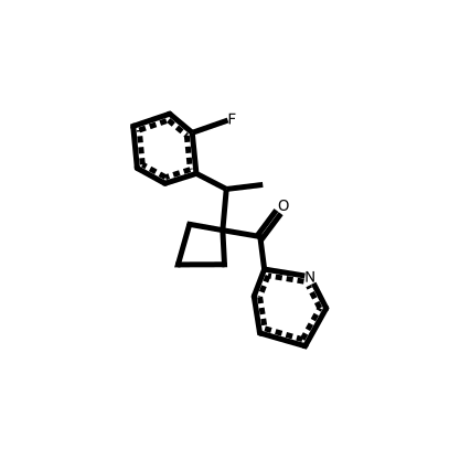 CC(c1ccccc1F)C1(C(=O)c2ccccn2)CCC1